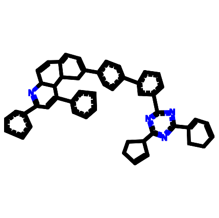 C1=CCCC(c2nc(-c3cccc(-c4ccc(C5=CC=C6C=CC7N=C(c8ccccc8)C=C(c8ccccc8)C7C6C5)cc4)c3)nc(C3C=CCC3)n2)=C1